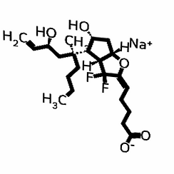 C=C[C@@H](O)C[C@](C)(CCCC)[C@H]1[C@@H]2[C@H](C[C@H]1O)OC(=CCCCC(=O)[O-])C2(F)F.[Na+]